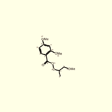 COC[C](C)OOC(=O)c1ccc(OC)cc1OC